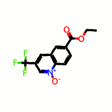 CCOC(=O)c1ccc2c(c1)cc(C(F)(F)F)c[n+]2[O-]